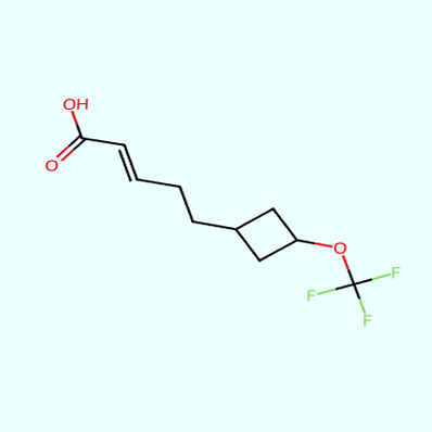 O=C(O)/C=C/CCC1CC(OC(F)(F)F)C1